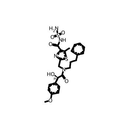 COc1ccc([C@@H](O)C(=O)N(CCCc2ccccc2)Cc2nc(C(=O)NS(N)(=O)=O)c(C)s2)cc1